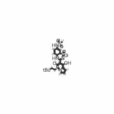 CC(C)(C)CCn1c(=O)c(C2=NS(=O)(=O)C3C=C(NS(C)(=O)=O)C=CC3N2)c(O)c2cccn21